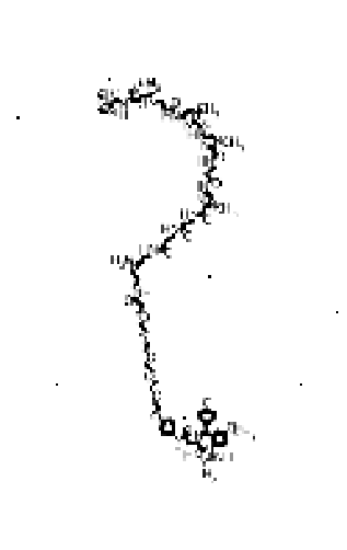 COc1ccc2c(c1)C(c1ccc(Cl)cc1)=N[C@H](CC(=O)Nc1ccc(OCCOCCOCCOCCOCCOCCC(=O)NCCCN(C)CCCNC(=O)CCNC(=O)CCNC(=O)c3nc(NC(=O)CCNC(=O)c4nc(NC(=O)c5nc(NC(=O)CCNC(=O)c6cc(NC(=O)c7nccn7C)cn6C)cn5C)cn4C)cn3C)cc1)C(=N)N2C(C)=N